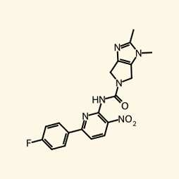 Cc1nc2c(n1C)CN(C(=O)Nc1nc(-c3ccc(F)cc3)ccc1[N+](=O)[O-])C2